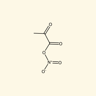 CC(=O)C(=O)O[N+](=O)[O-]